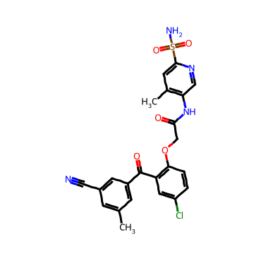 Cc1cc(C#N)cc(C(=O)c2cc(Cl)ccc2OCC(=O)Nc2cnc(S(N)(=O)=O)cc2C)c1